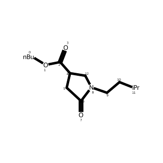 CCCCOC(=O)C1CC(=O)N(CCC(C)C)C1